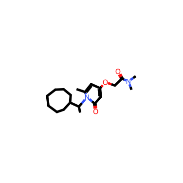 Cc1cc(OCC(=O)N(C)C)cc(=O)n1C(C)C1CCCCCCC1